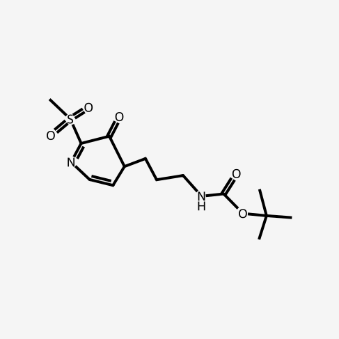 CC(C)(C)OC(=O)NCCCC1C=CN=C(S(C)(=O)=O)C1=O